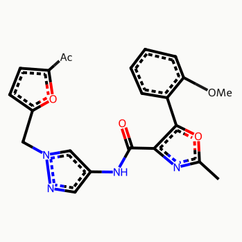 COc1ccccc1-c1oc(C)nc1C(=O)Nc1cnn(Cc2ccc(C(C)=O)o2)c1